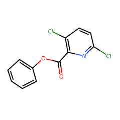 O=C(Oc1ccccc1)c1nc(Cl)ccc1Cl